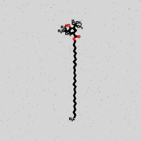 CCCCCCCCCCCCCCCCCCCCCCCCCCCCOC(=O)c1cc(C(C)(C)C)c(O)c(C(C)(C)C)c1